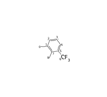 Cc1[c][c]cc(C(F)(F)F)c1C